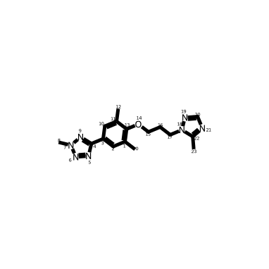 Cc1cc(-c2nnn(C)n2)cc(C)c1OCCCn1ncnc1C